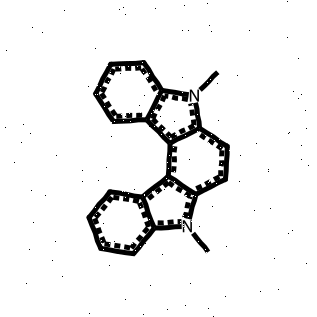 Cn1c2ccccc2c2c3c4ccccc4n(C)c3ccc21